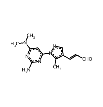 Cc1c(/C=C/C=O)cnn1-c1cc(N(C)C)nc(N)n1